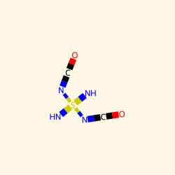 N=S(=N)(N=C=O)N=C=O